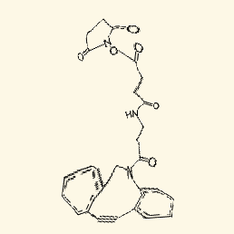 O=C(CCC(=O)ON1C(=O)CCC1=O)NCCC(=O)N1Cc2ccccc2C#Cc2ccccc21